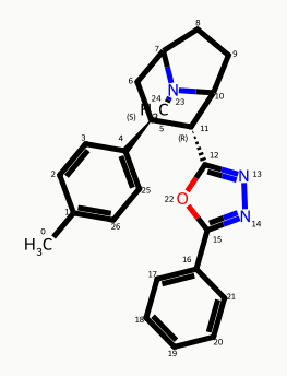 Cc1ccc([C@H]2CC3CCC([C@@H]2c2nnc(-c4ccccc4)o2)N3C)cc1